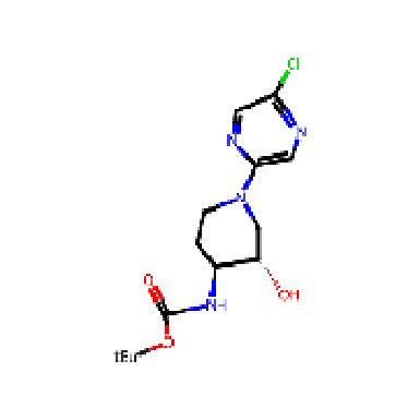 CC(C)(C)OC(=O)N[C@H]1CCN(c2cnc(Cl)cn2)C[C@@H]1O